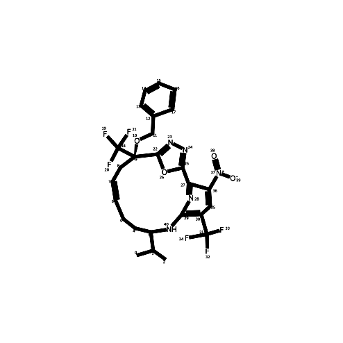 CC(C)C1CCC=CC[C@](OCc2ccccc2)(C(F)(F)F)c2nnc(o2)-c2nc(c(C(F)(F)F)cc2[N+](=O)[O-])N1